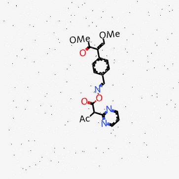 COC=C(C(=O)OC)c1ccc(C=NOC(=O)C(C(C)=O)c2ncccn2)cc1